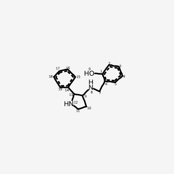 Oc1ccccc1CNC1CCNC1c1ccccc1